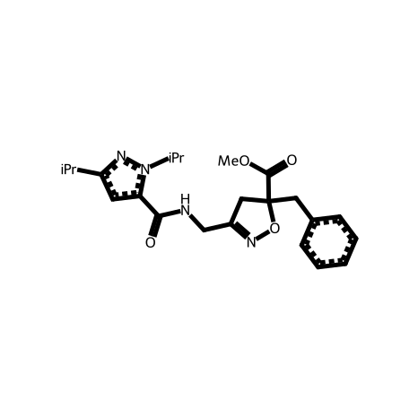 COC(=O)C1(Cc2ccccc2)CC(CNC(=O)c2cc(C(C)C)nn2C(C)C)=NO1